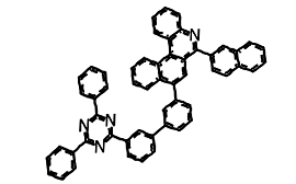 c1ccc(-c2nc(-c3ccccc3)nc(-c3cccc(-c4cccc(-c5cc6c(-c7ccc8ccccc8c7)nc7ccccc7c6c6ccccc56)c4)c3)n2)cc1